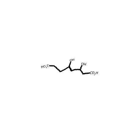 O=C(O)CCC(O)CC(O)CC(=O)O